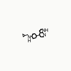 c1cc(-c2ccc(NCC3CC3)cc2)c2cc[nH]c2n1